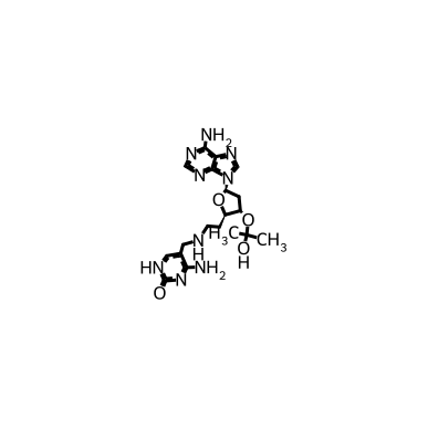 CC(C)(O)O[C@@H]1C[C@H](n2cnc3c(N)ncnc32)O[C@@H]1CCNCc1c[nH]c(=O)nc1N